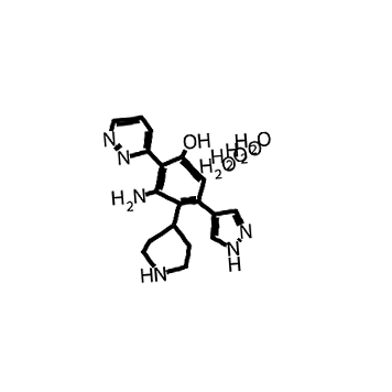 Nc1c(-c2cccnn2)c(O)cc(-c2cn[nH]c2)c1C1CCNCC1.O.O.O.O